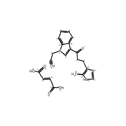 C#CCn1cc(C(=O)CCc2nc[nH]c2C)c2ccccc21.O=C(O)C=CC(=O)O